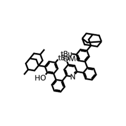 COc1cc(-c2ccccc2-c2cc(C(C)(C)C)cc(C34CC5CC(CC(C5)C3)C4)c2)nc(-c2ccccc2-c2cc(C(C)(C)C)cc(C34CC(C)CC(CC(C)C3)C4)c2O)c1